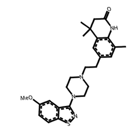 COc1ccc2snc(N3CCN(CCc4cc(C)c5c(c4)C(C)(C)CC(=O)N5)CC3)c2c1